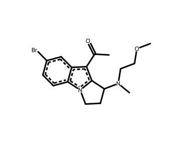 COCCN(C)C1CCn2c1c(C(C)=O)c1cc(Br)ccc12